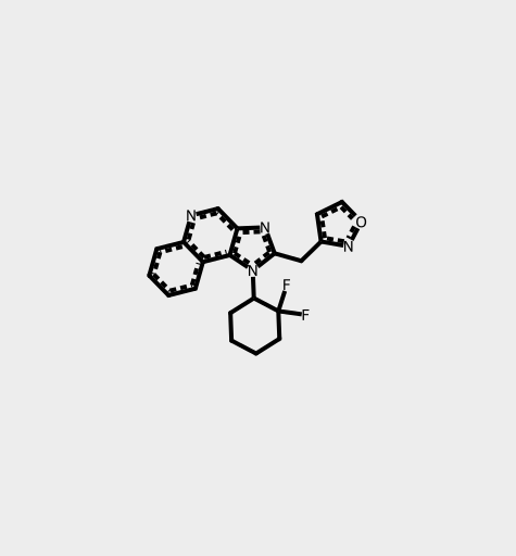 FC1(F)CCCCC1n1c(Cc2ccon2)nc2cnc3ccccc3c21